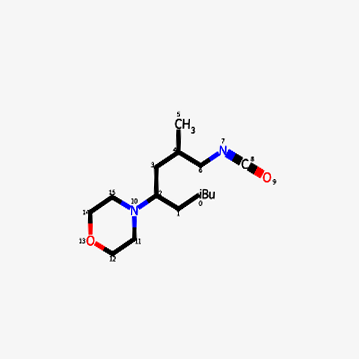 CCC(C)CC(CC(C)CN=C=O)N1CCOCC1